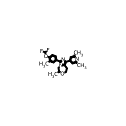 Cc1cc(-c2nc(-c3ccc(OC(F)F)c(C)c3)n3c2CCOC(C)C3)cc(C)n1